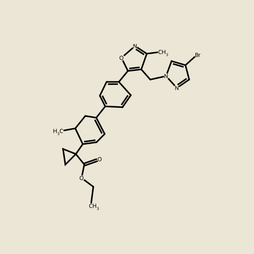 CCOC(=O)C1(C2=CC=C(c3ccc(-c4onc(C)c4Cn4cc(Br)cn4)cc3)CC2C)CC1